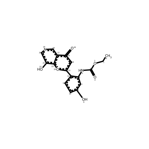 CCOC(=O)Nc1cc(O)ccc1-c1cc(=O)c2cncc(O)c2o1